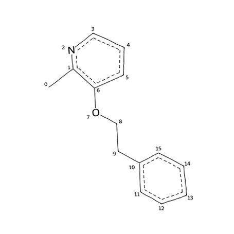 Cc1ncccc1OCCc1ccccc1